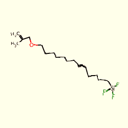 C=C(C)COCCCCCCCCCCCCC[Si](F)(F)F